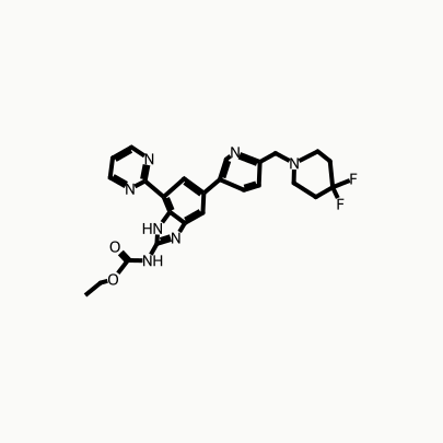 CCOC(=O)Nc1nc2cc(-c3ccc(CN4CCC(F)(F)CC4)nc3)cc(-c3ncccn3)c2[nH]1